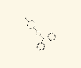 FC1CCN(C2CN(C(c3ccccc3)c3ccccc3)C2)CC1